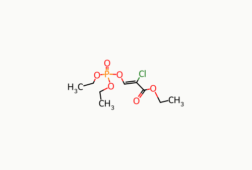 CCOC(=O)C(Cl)=COP(=O)(OCC)OCC